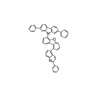 c1ccc(-c2ccc3c4ccc(-c5ccccc5)cc4n(-c4cccc5c4oc4cccc(-c6cccc7nc(-c8ccccc8)ccc67)c45)c3c2)cc1